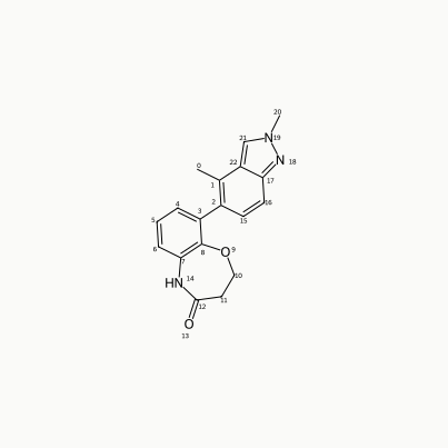 Cc1c(-c2cccc3c2OCCC(=O)N3)ccc2nn(C)cc12